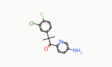 CC(C)(C(=O)c1ccc(N)cn1)c1ccc(F)c(Cl)c1